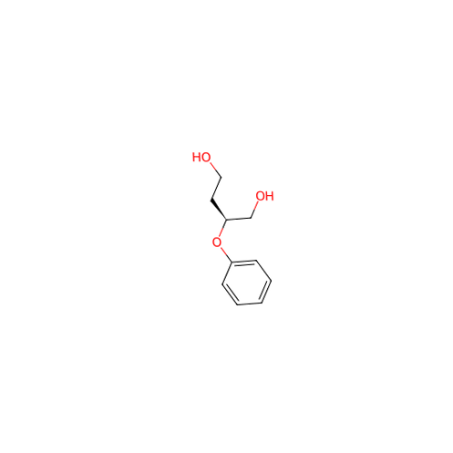 OCC[C@@H](CO)Oc1ccccc1